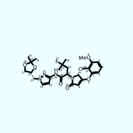 COc1cccc(OC2=CC(=O)N(C(CC(C)(C)F)C(=O)Nc3ccn(C[C@@H]4COC(C)(C)O4)n3)C2)c1Cl